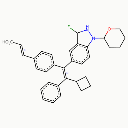 O=C(O)/C=C/c1ccc(/C(=C(\c2ccccc2)C2CCC2)c2ccc3c(c2)C(F)NN3C2CCCCO2)cc1